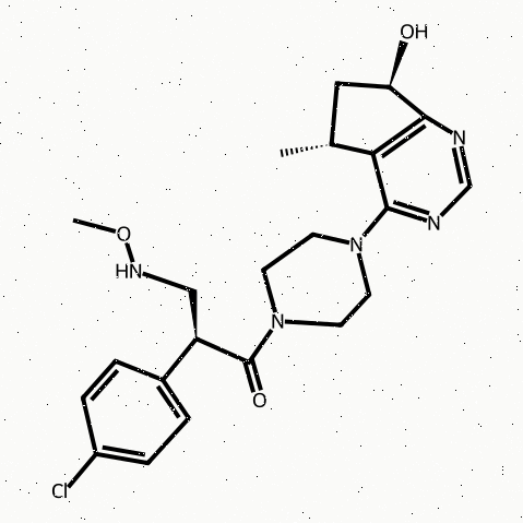 CONC[C@@H](C(=O)N1CCN(c2ncnc3c2[C@H](C)C[C@H]3O)CC1)c1ccc(Cl)cc1